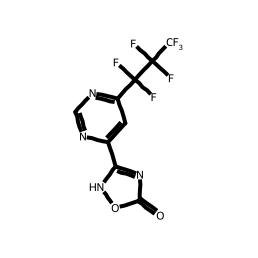 O=c1nc(-c2cc(C(F)(F)C(F)(F)C(F)(F)F)ncn2)[nH]o1